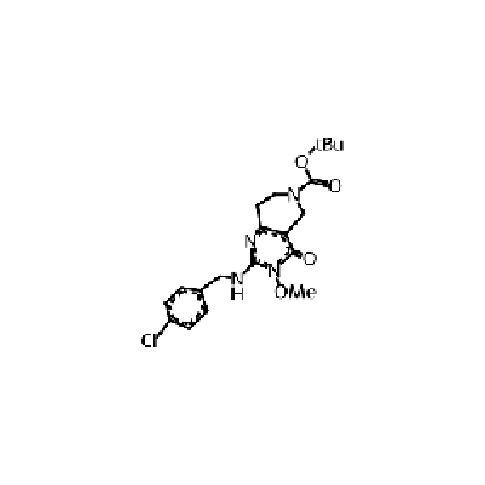 COn1c(NCc2ccc(Cl)cc2)nc2c(c1=O)CN(C(=O)OC(C)(C)C)CC2